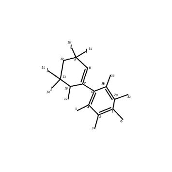 Cc1c(C)c(C)c(C2=CC(I)(I)CC(I)(I)C2C)c(C)c1C